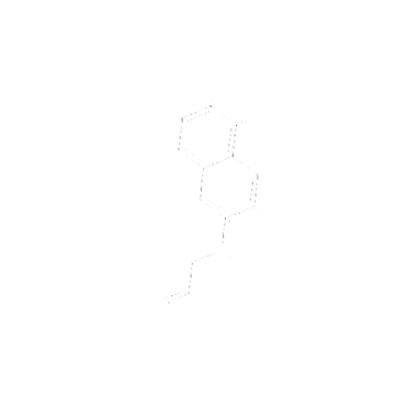 O=[C]COc1ccc2ccccc2c1